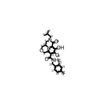 CC(C)CN1CC2COCc3c(C(=O)NCc4ccc(F)cc4F)c(=O)c(O)c(n32)C1=O